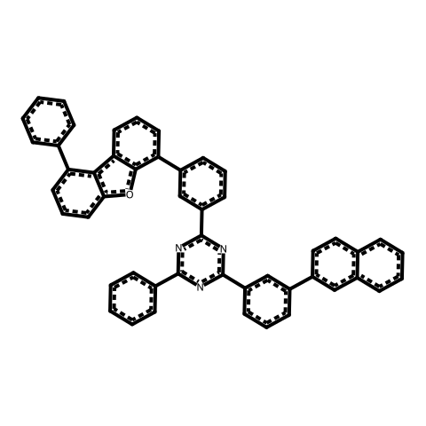 c1ccc(-c2nc(-c3cccc(-c4ccc5ccccc5c4)c3)nc(-c3cccc(-c4cccc5c4oc4cccc(-c6ccccc6)c45)c3)n2)cc1